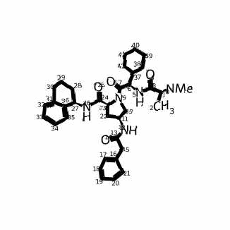 CN[C@@H](C)C(=O)N[C@@H](C(=O)N1C[C@@H](NC(=O)Cc2ccccc2)C[C@H]1C(=O)N[C@@H]1CCCc2ccccc21)C1CCCCC1